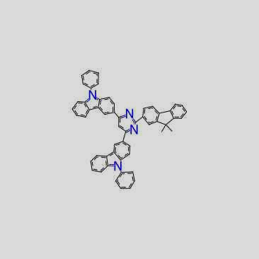 CC1(C)c2ccccc2-c2ccc(-c3nc(-c4ccc5c(c4)c4ccccc4n5-c4ccccc4)cc(-c4ccc5c(c4)c4ccccc4n5-c4ccccc4)n3)cc21